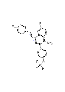 NC(=O)N(/N=C(/C=C/c1ccc(F)cc1)c1cccc(F)c1)c1ccc(OC(F)(F)F)cc1